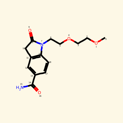 COCCOCCN1C(=O)Cc2cc(C(N)=O)ccc21